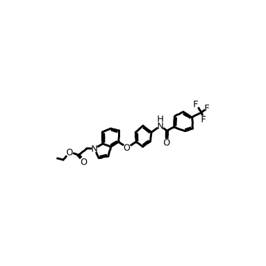 CCOC(=O)Cn1ccc2c(Oc3ccc(NC(=O)c4ccc(C(F)(F)F)cc4)cc3)cccc21